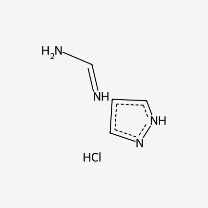 Cl.N=CN.c1cn[nH]c1